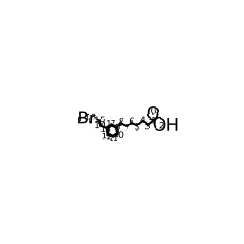 O=C(O)CCCCCCc1cccc(CCBr)c1